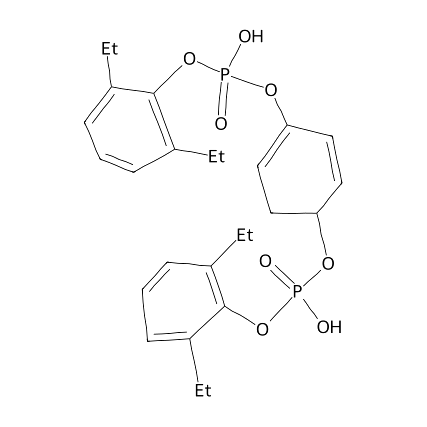 CCc1cccc(CC)c1OP(=O)(O)OC1=CCC(OP(=O)(O)Oc2c(CC)cccc2CC)C=C1